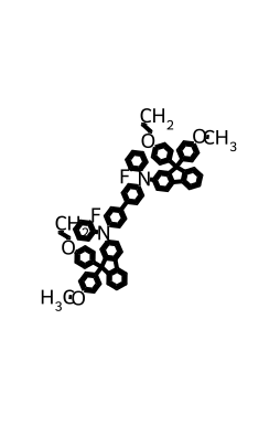 C=CCOc1ccc(C2(c3ccc(OC)cc3)c3ccccc3-c3ccc(N(c4ccc(-c5ccc(N(c6ccc7c(c6)C(c6ccc(OC)cc6)(c6ccc(OCC=C)cc6)c6ccccc6-7)c6ccccc6F)cc5)cc4)c4ccccc4F)cc32)cc1